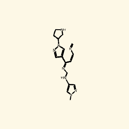 C=N/C=C\C(=N/CNc1cnn(C)c1)c1cnn(C2CCNC2)c1